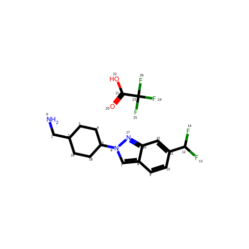 NCC1CCC(n2cc3ccc(C(F)F)cc3n2)CC1.O=C(O)C(F)(F)F